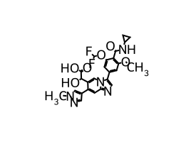 COc1cc(-c2cnc3cc(-c4cnn(C)c4)c(C(O)C(=O)O)cn23)cc(OC(F)F)c1C(=O)NC1CC1